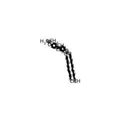 C#CC#CC#CC#CC#CC#COP(OC#CC#CC#CC#CC#CC#C)Oc1ccc(C(C)(C)c2ccc(OP(C)C)cc2)cc1